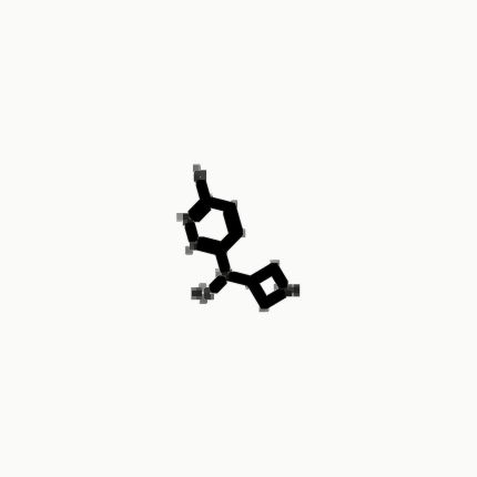 CN(c1ccc(Cl)nn1)C1CNC1